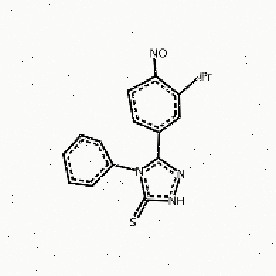 CC(C)c1cc(-c2n[nH]c(=S)n2-c2ccccc2)ccc1N=O